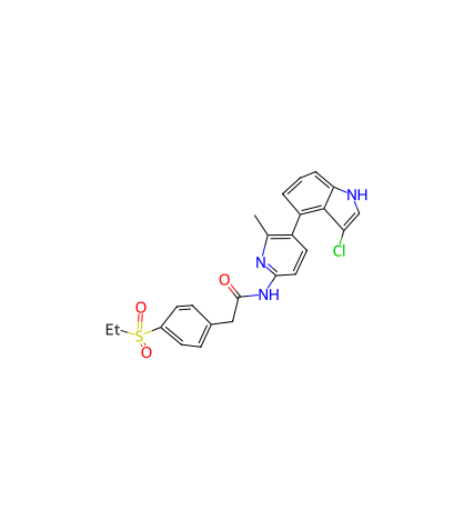 CCS(=O)(=O)c1ccc(CC(=O)Nc2ccc(-c3cccc4[nH]cc(Cl)c34)c(C)n2)cc1